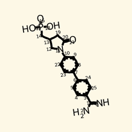 N=C(N)c1ccc(-c2ccc(N3CC(CP(=O)(O)O)CC3=O)cc2)cc1